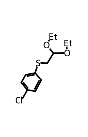 CCOC(CSc1ccc(Cl)cc1)OCC